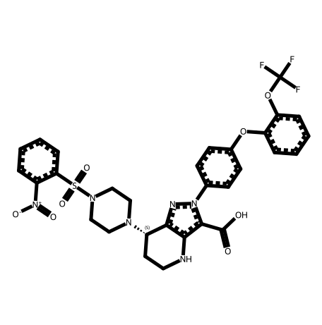 O=C(O)c1c2c(nn1-c1ccc(Oc3ccccc3OC(F)(F)F)cc1)[C@@H](N1CCN(S(=O)(=O)c3ccccc3[N+](=O)[O-])CC1)CCN2